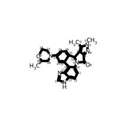 Cc1c2c(nn1C)C(=O)N1c3ccc4[nH]cnc4c3-c3cc(N4CCO[C@@H](C)C4)ccc3C21